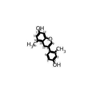 Cc1cc(O)ccc1C1=COc2cc(O)cc(C)c2C1